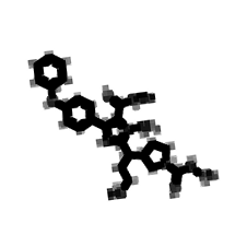 COC(=O)c1c(-c2ccc(Oc3ccccc3)cc2)nc(C(CCO)C2CCN(C(=O)OC(C)(C)C)C2)n1N